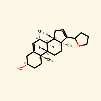 C[C@H]1C=C2C[C@@H](O)CC[C@]2(C)[C@H]2CC[C@]3(C)C(C4CCCO4)=CC[C@H]3[C@H]12